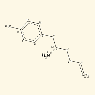 C=CCC[C@H](N)Cc1ccc(F)cc1